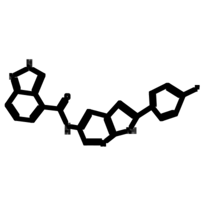 O=C(Nc1cnc2[nH]c(-c3ccc(F)cc3)cc2c1)c1cccc2n[nH]cc12